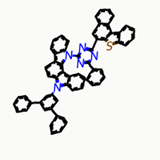 c1ccc(-c2cc(-c3ccccc3)cc(-n3c4ccccc4c4c3ccc3c5ccccc5n(-c5nc(-c6ccccc6)nc(-c6cc7ccccc7c7c6sc6ccccc67)n5)c34)c2)cc1